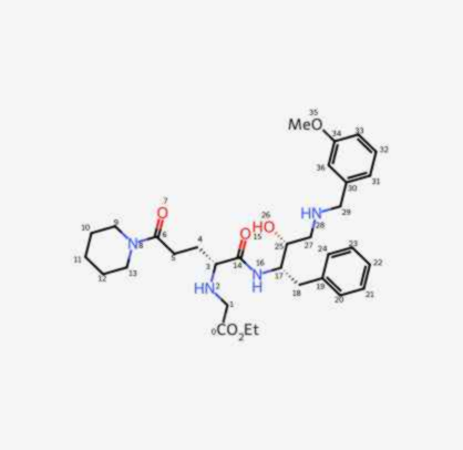 CCOC(=O)CN[C@H](CCC(=O)N1CCCCC1)C(=O)N[C@@H](Cc1ccccc1)[C@H](O)CNCc1cccc(OC)c1